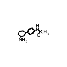 CC(=O)Nc1ccc(C2CCCC(N)C2)cc1